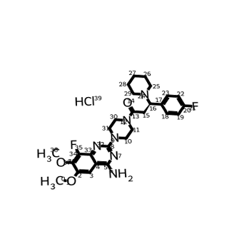 COc1cc2c(N)nc(N3CCN(C(=O)C[C@H](c4ccc(F)cc4)N4CCCCC4)CC3)nc2c(F)c1OC.Cl